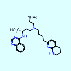 CC(=O)NCCN(CCCCc1ccc2c(n1)NCCC2)CC[C@H](Nc1ncnc2ccccc12)C(=O)O